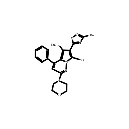 CCCCc1noc(-c2c(C(=O)OCC)c3c(-c4ccccc4)cc(N4CCOCC4)nn3c2CCC)n1